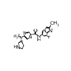 Cc1cn2cc(NC(=O)c3cnc(N(C)[C@@H]4CCNC4)cn3)cc(F)c2n1